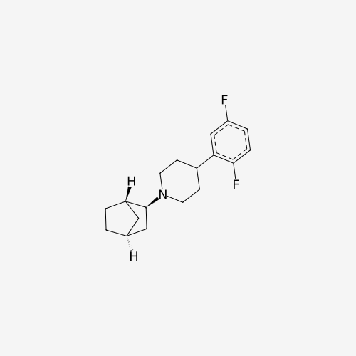 Fc1ccc(F)c(C2CCN([C@H]3C[C@H]4CC[C@H]3C4)CC2)c1